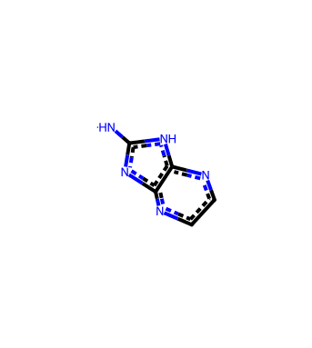 [NH]c1nc2nccnc2[nH]1